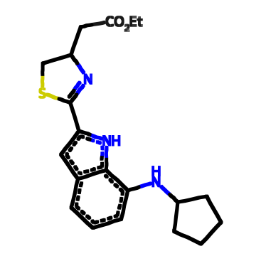 CCOC(=O)CC1CSC(c2cc3cccc(NC4CCCC4)c3[nH]2)=N1